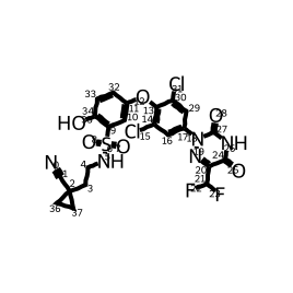 N#CC1(CCNS(=O)(=O)c2cc(Oc3c(Cl)cc(-n4nc(C(F)F)c(=O)[nH]c4=O)cc3Cl)ccc2O)CC1